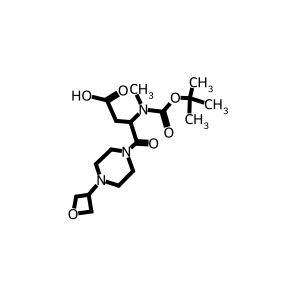 CN(C(=O)OC(C)(C)C)C(CC(=O)O)C(=O)N1CCN(C2COC2)CC1